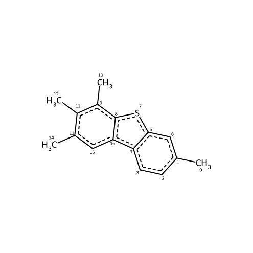 Cc1ccc2c(c1)sc1c(C)c(C)c(C)cc12